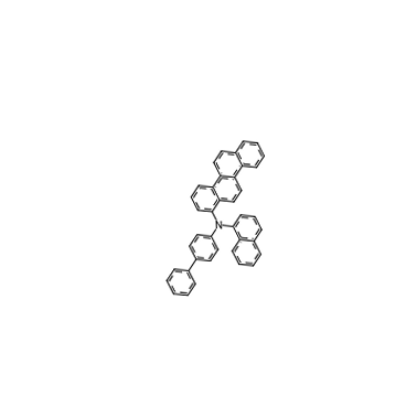 c1ccc(-c2ccc(N(c3cccc4ccccc34)c3cccc4c3ccc3c5ccccc5ccc43)cc2)cc1